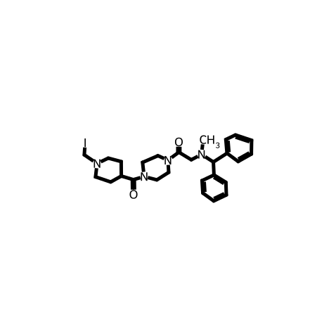 CN(CC(=O)N1CCN(C(=O)C2CCN(CI)CC2)CC1)C(c1ccccc1)c1ccccc1